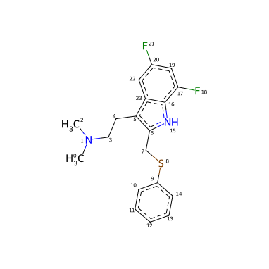 CN(C)CCc1c(CSc2ccccc2)[nH]c2c(F)cc(F)cc12